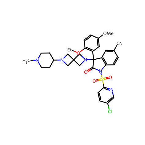 CCOc1ccc(OC)cc1C1(N2CC3(CN(C4CCN(C)CC4)C3)C2)C(=O)N(S(=O)(=O)c2ccc(Cl)cn2)c2ccc(C#N)cc21